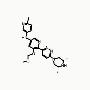 COCOc1cc(Nc2ccc(C)nc2)cnc1-c1ccc(N2C[C@@H](C)N[C@@H](C)C2)nn1